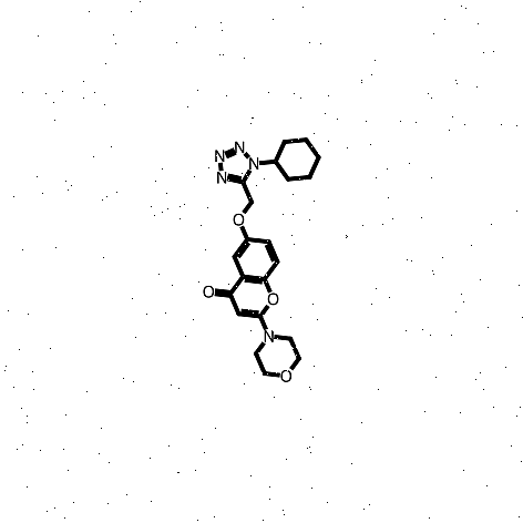 O=c1cc(N2CCOCC2)oc2ccc(OCc3nnnn3C3CCCCC3)cc12